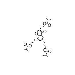 C=C(C)C(=O)OCCCc1cc(CCCOC(=O)C(=C)C)c2occ(CCOC(=O)C(=C)C)c(=O)c2c1